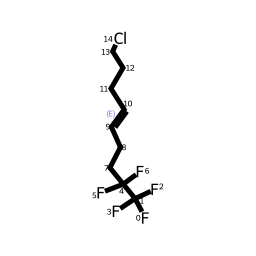 FC(F)(F)C(F)(F)CC/C=C/CCCCl